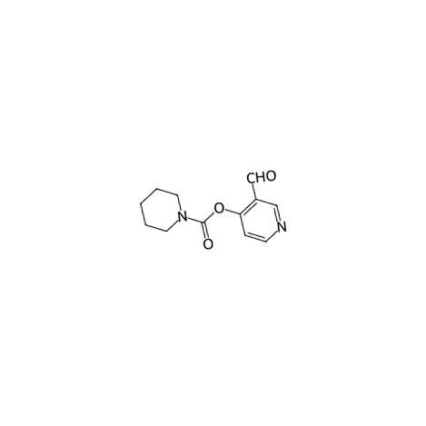 O=Cc1cnccc1OC(=O)N1CCCCC1